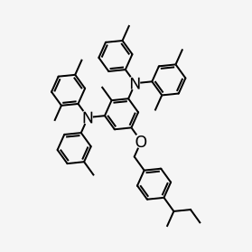 CCC(C)c1ccc(COc2cc(N(c3cccc(C)c3)c3cc(C)ccc3C)c(C)c(N(c3cccc(C)c3)c3cc(C)ccc3C)c2)cc1